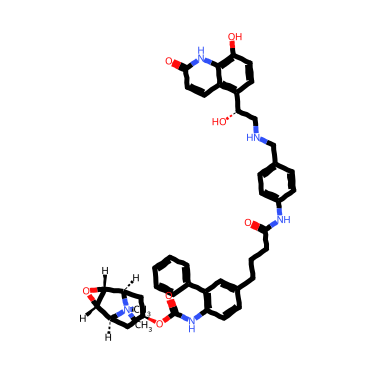 C[N+]1(C)[C@@H]2C[C@@H](OC(=O)Nc3ccc(CCCC(=O)Nc4ccc(CNC[C@H](O)c5ccc(O)c6[nH]c(=O)ccc56)cc4)cc3-c3ccccc3)C[C@H]1[C@@H]1O[C@@H]12